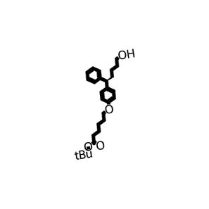 CC(C)(C)OC(=O)CCCCCOc1ccc([C@H](CCCCO)c2ccccc2)cc1